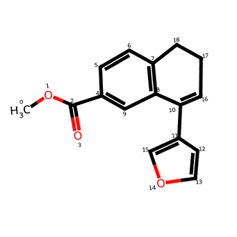 COC(=O)c1ccc2c(c1)C(c1ccoc1)=CCC2